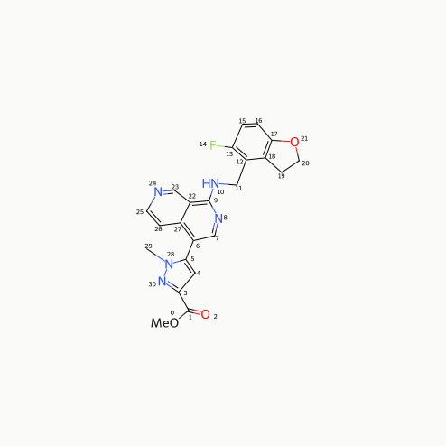 COC(=O)c1cc(-c2cnc(NCc3c(F)ccc4c3CCO4)c3cnccc23)n(C)n1